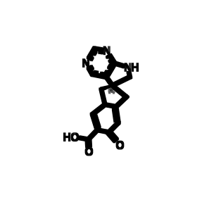 O=C(O)C1=CC2C[C@@]3(CNc4ncncc43)CC2=CC1=O